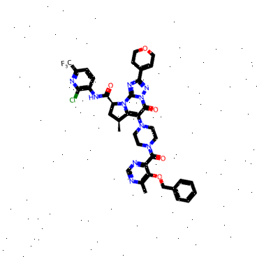 Cc1ncnc(C(=O)N2CCN(c3c4n(c5nc(C6=CCOCC6)nn5c3=O)[C@H](C(=O)Nc3ccc(C(F)(F)F)nc3Cl)C[C@@H]4C)CC2)c1OCc1ccccc1